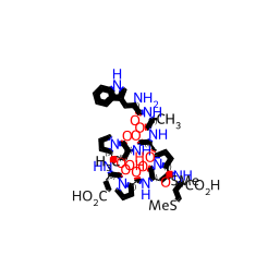 CSCC[C@H](NC(=O)[C@@H]1CCCN1C(=O)[C@H](CCSC)NC(=O)[C@@H]1CCCN1C(=O)[C@H](CCC(=O)O)NC(=O)[C@@H]1CCCN1C(=O)[C@@H](NC(=O)[C@H](CO)NC(=O)[C@H](C)NC(=O)[C@@H](N)Cc1c[nH]c2ccccc12)[C@@H](C)O)C(=O)O